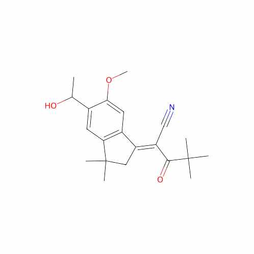 COc1cc2c(cc1C(C)O)C(C)(C)C/C2=C(/C#N)C(=O)C(C)(C)C